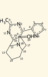 Cc1nc(-c2ccc[nH]2)c2c(n1)C1CCCC(C2)N1C=O